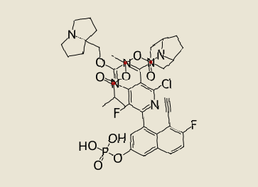 C#Cc1c(F)ccc2cc(OP(=O)(O)O)cc(-c3nc(Cl)c4c(N5CC6CCC(C5)N6C(=O)OC(C)OC(=O)C(C)C)nc(OCC56CCCN5CCC6)nc4c3F)c12